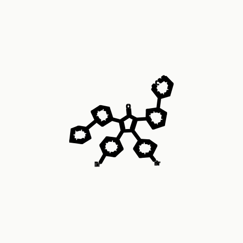 O=C1C(c2cccc(-c3ccccc3)c2)=C(c2ccc(Br)cc2)C(c2ccc(Br)cc2)=C1c1cccc(-c2ccccc2)c1